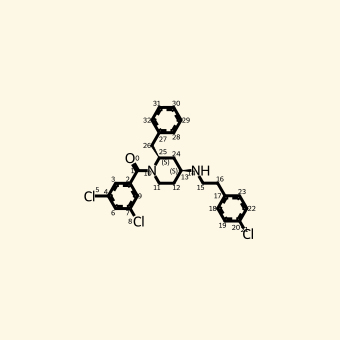 O=C(c1cc(Cl)cc(Cl)c1)N1CC[C@H](NCCc2ccc(Cl)cc2)C[C@@H]1Cc1ccccc1